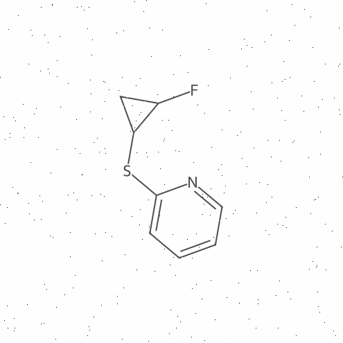 FC1CC1Sc1ccccn1